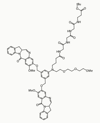 COCCOCCOCCN(CCCC(=O)NCC(=O)NCC(=O)NCC(=O)NCCC(=O)OC(C)(C)C)c1cc(COc2cc3c(cc2OC)C(=O)N2c4ccccc4CC2C=N3)cc(COc2cc3c(cc2OC)C(=O)N2c4ccccc4CC2C=N3)c1